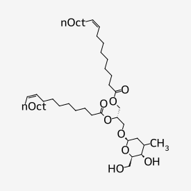 CCCCCCCC/C=C\CCCCCCCC(=O)OC[C@H](CO[C@H]1CC(C)[C@@H](O)[C@@H](CO)O1)OC(=O)CCCCCCC/C=C\CCCCCCCC